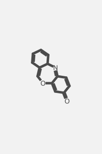 O=C1C=CC2=NC3C=CC=CC3=COC2=C1